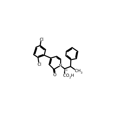 CC(c1ccccc1)[C@@H](C(=O)O)n1ccc(-c2cc(Cl)ccc2Cl)cc1=O